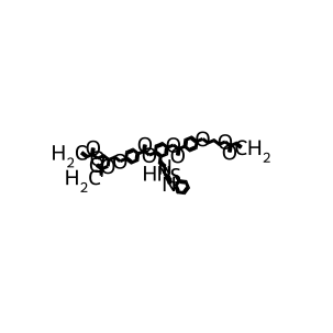 C=CC(=O)OCCCOc1ccc(C(=O)Oc2ccc(OC(=O)c3ccc(OCC(COC(=O)C=C)OC(=O)C=C)cc3)c(/C=N/Nc3nc4ccccc4s3)c2)cc1